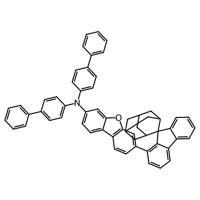 c1ccc(-c2ccc(N(c3ccc(-c4ccccc4)cc3)c3ccc4c(c3)oc3cc(-c5cccc6c5C5(c7ccccc7-6)C6CC7CC(C6)CC5C7)ccc34)cc2)cc1